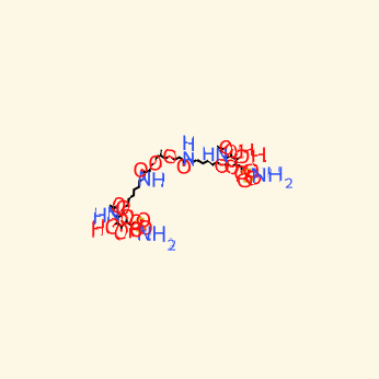 CC(=O)NC1C(OCCCCCCNC(=O)CCOCC(C)COCCC(=O)NCCCCCCOC2OC(COS(=O)(=O)ON)C(O)C(O)C2NC(C)=O)OC(COS(=O)(=O)ON)C(O)C1O